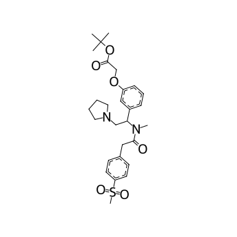 CN(C(=O)Cc1ccc(S(C)(=O)=O)cc1)C(CN1CCCC1)c1cccc(OCC(=O)OC(C)(C)C)c1